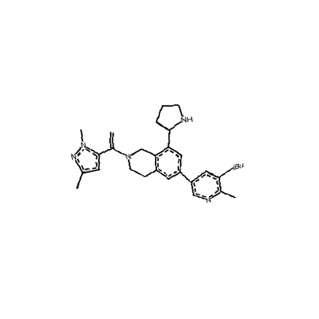 C=C(c1cc(C)nn1C)N1CCc2cc(-c3cnc(C)c(C(C)CC)c3)cc(C3CCCN3)c2C1